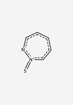 S=[n+]1cccccn1